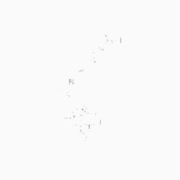 Cc1cc(C)c(C2=C(O)[C@]3(CC[C@H](OC4CCN(CCOCCOCCOCC(=O)O)CC4)CC3)OC2=O)c(C)c1